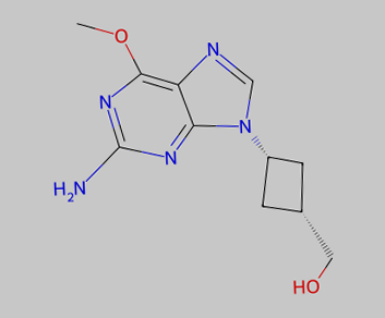 COc1nc(N)nc2c1ncn2[C@H]1C[C@@H](CO)C1